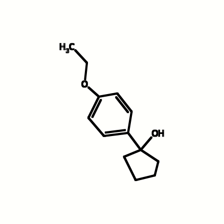 CCOc1ccc(C2(O)CCCC2)cc1